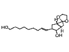 OCCCCCCCC=C[C@H]1C[C@H]2[C@@H](CC23OCCO3)C1O